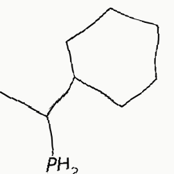 CC(P)C1CCCCC1